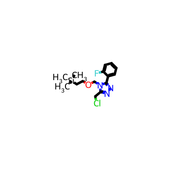 C[Si](C)(C)CCOCn1c(CCl)nnc1-c1ccccc1F